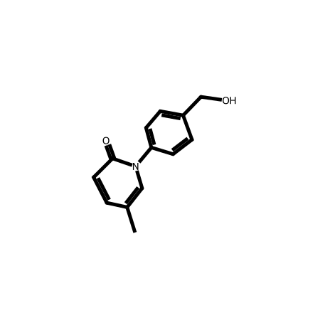 Cc1ccc(=O)n(-c2ccc(CO)cc2)c1